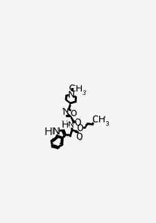 CCCCOC(=O)C(Cc1c[nH]c2ccccc12)NC(=O)c1cnc(C2CCN(C)CC2)o1